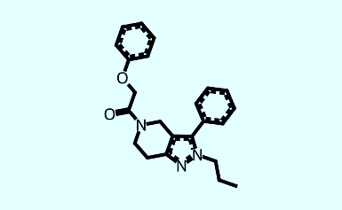 CCCn1nc2c(c1-c1ccccc1)CN(C(=O)COc1ccccc1)CC2